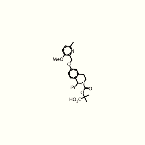 COc1ccc(C)nc1COc1ccc2c(c1)CCN(C(=O)OC(C)(C)C(=O)O)C2C(C)C